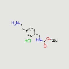 CC(C)(C)OC(=O)NCc1ccc(CCN)cc1.Cl